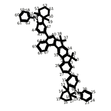 CC1(C)c2cc(-c3ccc4c(c3)C3(C)CCCCC3(C)N4c3ccccc3)ccc2-c2cc3c(cc21)C(C)(C)c1cc(-c2ccc4c(c2)C2(C)CCCCC2(C)N4c2ccccc2)c2ccccc2c1-3